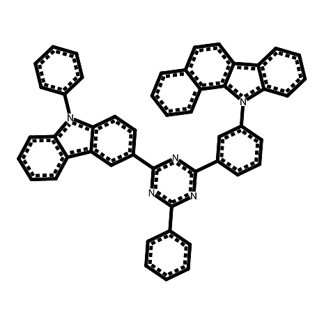 c1ccc(-c2nc(-c3cccc(-n4c5ccccc5c5ccc6ccccc6c54)c3)nc(-c3ccc4c(c3)c3ccccc3n4-c3ccccc3)n2)cc1